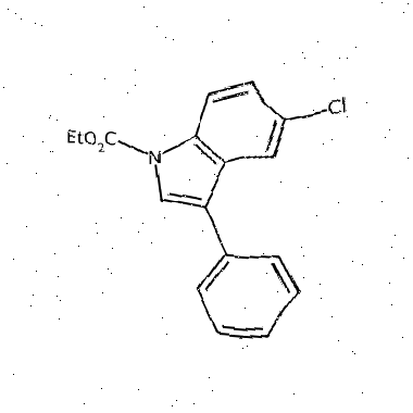 CCOC(=O)n1cc(-c2ccccc2)c2cc(Cl)ccc21